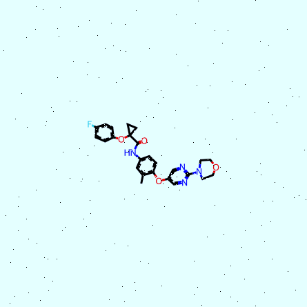 Cc1cc(NC(=O)C2(Oc3ccc(F)cc3)CC2)ccc1Oc1cnc(N2CCOCC2)nc1